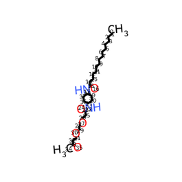 CCCCCCCCCCCCCCCC(=O)N[C@H]1CC[C@@H](NC(=O)CCOCCOCCC(C)=O)CC1